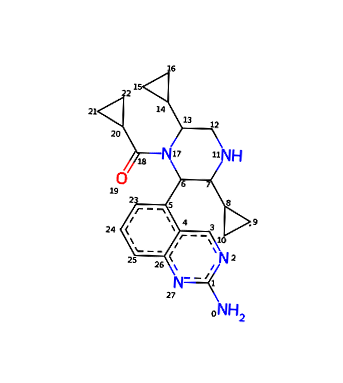 Nc1ncc2c(C3C(C4[CH]C4)NCC(C4CC4)N3C(=O)C3CC3)cccc2n1